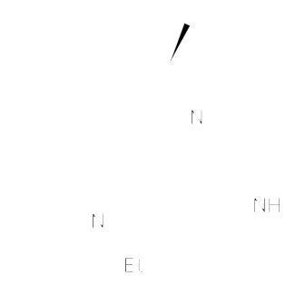 CCN1CCCC(C[C@@H](C)N2CCNCC2)C1